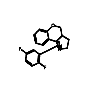 Fc1ccc(F)c(C2=NN3CCC4COc5ccccc5C43S2)c1